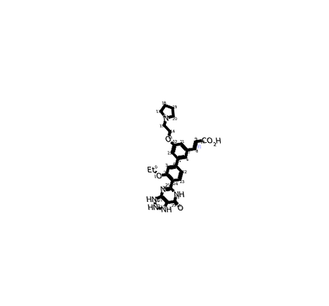 CCOc1cc(-c2cc(/C=C/C(=O)O)cc(OCCN3CCCC3)c2)ccc1-c1nc2c(c(=O)[nH]1)NNN2